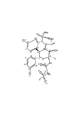 CC(C)C(CS(=N)(=O)C(C)C)N1C(=O)[C@@](C)(CC(=O)NS(C)(=O)=O)C[C@H](c2cccc(Cl)c2)[C@H]1c1ccc(Cl)cc1